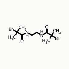 CC(C)(Br)C(=O)NCCNC(=O)C(C)(C)Br